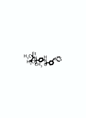 CC/C(C)=C(\N=C(\c1ccc(NC(=O)c2cccc(CN3CCSCC3)c2)cc1)N(C)C)C1CC1